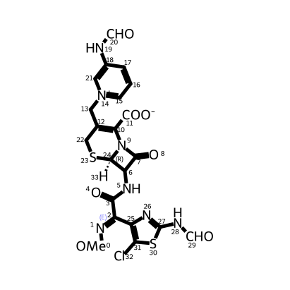 CO/N=C(/C(=O)NC1C(=O)N2C(C(=O)[O-])=C(C[n+]3cccc(NC=O)c3)CS[C@H]12)c1nc(NC=O)sc1Cl